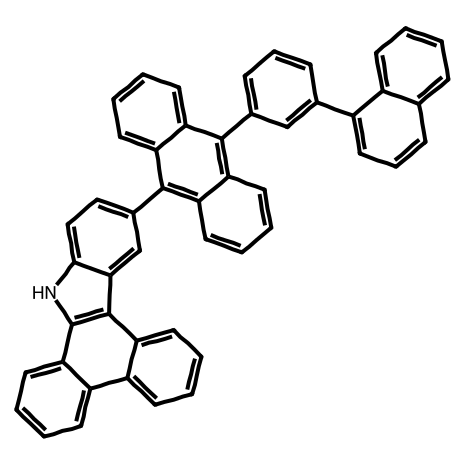 c1cc(-c2cccc3ccccc23)cc(-c2c3ccccc3c(-c3ccc4[nH]c5c6ccccc6c6ccccc6c5c4c3)c3ccccc23)c1